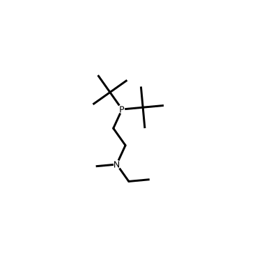 CCN(C)CCP(C(C)(C)C)C(C)(C)C